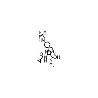 N#CC[C@]1(n2cc(C(N)O)c(NC(=O)C3CC3)n2)CC[C@H](NCC(F)(F)F)CC1